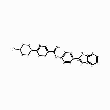 CN1CCN(c2ccc(C(=O)Nc3ccc(-c4nc5ccccc5o4)cc3)cn2)CC1